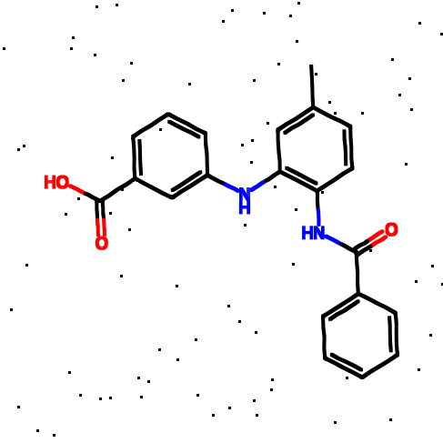 Cc1ccc(NC(=O)c2ccccc2)c(Nc2cccc(C(=O)O)c2)c1